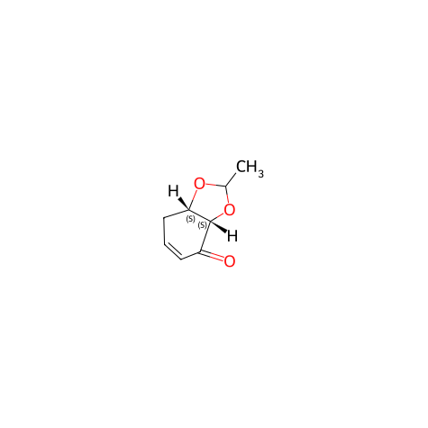 CC1O[C@H]2CC=CC(=O)[C@H]2O1